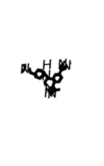 Cc1nnn2c1-c1ccc(-c3cnn(C)c3)cc1C(Nc1ccc(CCN(C)C)cc1)CC2